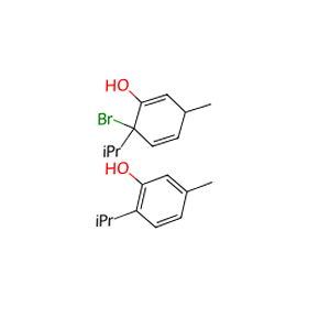 CC1C=CC(Br)(C(C)C)C(O)=C1.Cc1ccc(C(C)C)c(O)c1